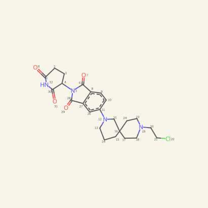 O=C1CCC(N2C(=O)c3ccc(N4CCCC5(CCN(CCCl)CC5)C4)cc3C2=O)C(=O)N1